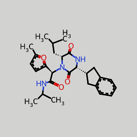 Cc1ccc([C@H](C(=O)NC(C)C)N2C(=O)[C@@H](C3Cc4ccccc4C3)NC(=O)[C@H]2CC(C)C)o1